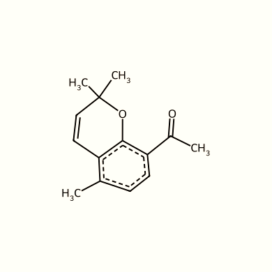 CC(=O)c1ccc(C)c2c1OC(C)(C)C=C2